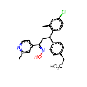 Cc1cc(C(C[C@H](c2ccc(CC(=O)O)cc2)c2ccc(Cl)cc2C)=NO)ccn1